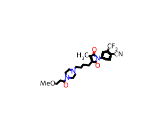 COCCC(=O)N1CCN(CCCCC2=C(C)C(=O)N(c3ccc(C#N)c(C(F)(F)F)c3)C2=O)CC1